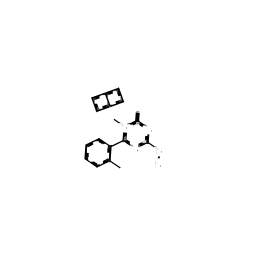 Cc1ccccc1-c1nc(NN)nc(=O)n1C.c1cc2ccc1-2